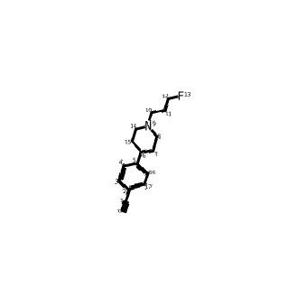 C#Cc1ccc(C2CCN(CCCF)CC2)cc1